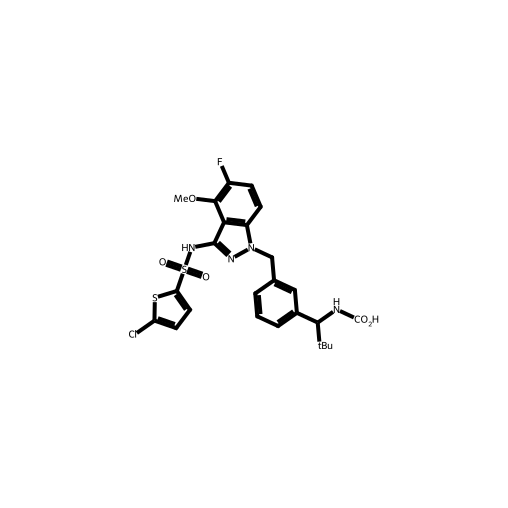 COc1c(F)ccc2c1c(NS(=O)(=O)c1ccc(Cl)s1)nn2Cc1cccc(C(NC(=O)O)C(C)(C)C)c1